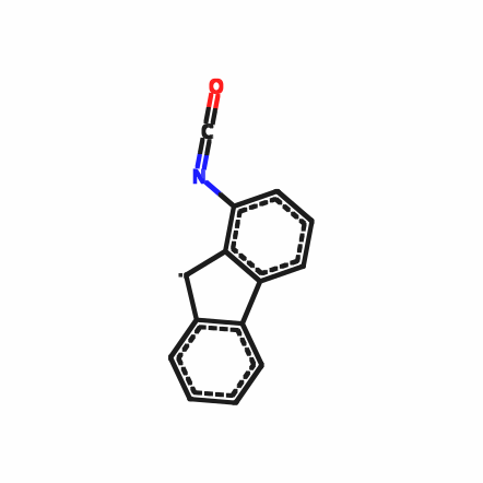 O=C=Nc1cccc2c1[CH]c1ccccc1-2